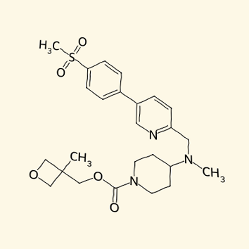 CN(Cc1ccc(-c2ccc(S(C)(=O)=O)cc2)cn1)C1CCN(C(=O)OCC2(C)COC2)CC1